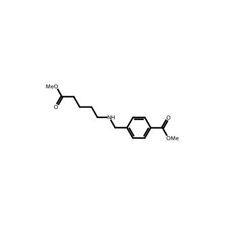 COC(=O)CCCCNCc1ccc(C(=O)OC)cc1